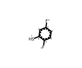 Fc1ccc(F)c(S)c1